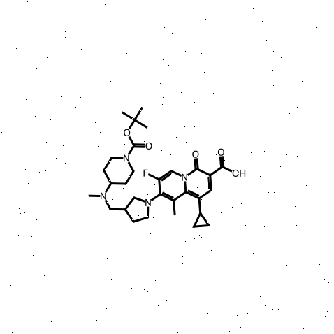 Cc1c(N2CCC(CN(C)C3CCN(C(=O)OC(C)(C)C)CC3)C2)c(F)cn2c(=O)c(C(=O)O)cc(C3CC3)c12